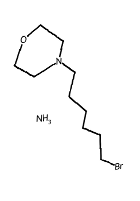 BrCCCCCCN1CCOCC1.N